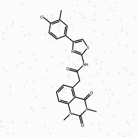 Cc1cc(-c2csc(NC(=O)Cc3cccc4c3c(=O)n(C)c(=O)n4C)n2)ccc1Cl